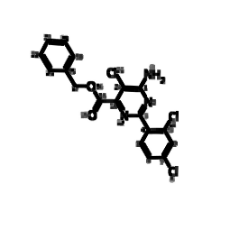 Nc1nc(-c2ccc(Cl)cc2Cl)nc(C(=O)OCc2ccccc2)c1Cl